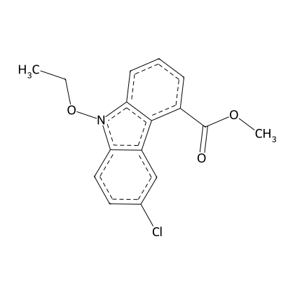 CCOn1c2ccc(Cl)cc2c2c(C(=O)OC)cccc21